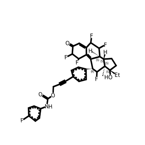 CC[C@]1(O)CC[C@H]2[C@H]3C(=C4C(=CC(=O)C(F)C4F)C(F)C3F)[C@@H](c3ccc(C#CCOC(=O)Nc4ccc(F)cc4)cc3)C(F)[C@@]21C